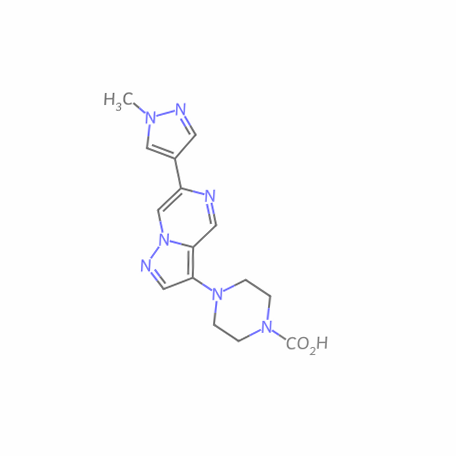 Cn1cc(-c2cn3ncc(N4CCN(C(=O)O)CC4)c3cn2)cn1